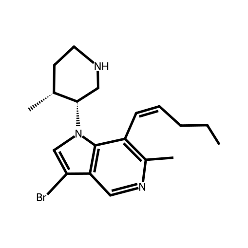 CCC/C=C\c1c(C)ncc2c(Br)cn([C@H]3CNCC[C@H]3C)c12